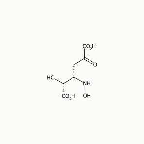 O=C(O)C(=O)C[C@H](NO)[C@@H](O)C(=O)O